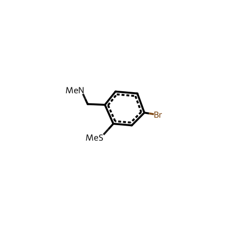 CNCc1ccc(Br)cc1SC